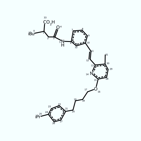 CCC(C)C(CC(=O)Nc1cccc(C=Cc2nc(OCCCCc3ccc(C(C)C)cc3)ccc2C)c1)C(=O)O